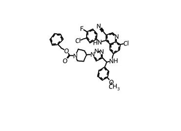 COc1cccc(C(Nc2cc(Cl)c3ncc(C#N)c(Nc4ccc(F)c(Cl)c4)c3c2)c2cn(C3CCN(C(=O)OCc4ccccc4)CC3)nn2)c1